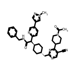 CC(=O)N1CCC(c2nc(C[C@H]3CC[C@H](C(C(=O)NCc4ccccc4)c4ccc(-c5cnn(C)c5)cn4)CC3)ncc2C#N)CC1